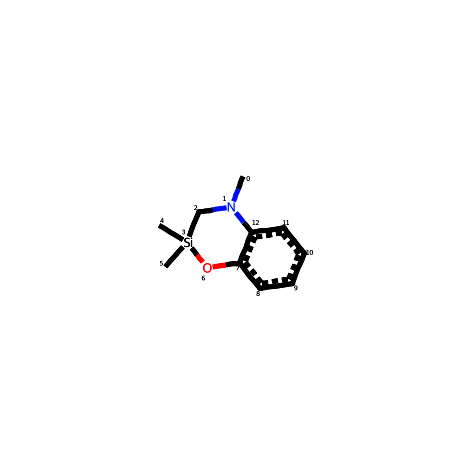 CN1C[Si](C)(C)Oc2ccccc21